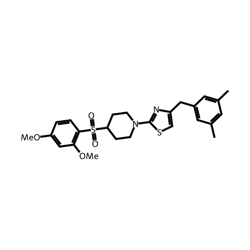 COc1ccc(S(=O)(=O)C2CCN(c3nc(Cc4cc(C)cc(C)c4)cs3)CC2)c(OC)c1